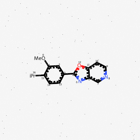 COc1cc(-c2nc3cnccc3o2)ccc1C(C)C